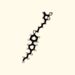 C=C1CC(CCCCCOc2ccc(C3CCC(CCCCC)CC3)cc2)OC1=O